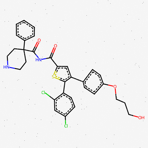 O=C(NC(=O)C1(c2ccccc2)CCNCC1)c1cc(-c2ccc(OCCCO)cc2)c(-c2ccc(Cl)cc2Cl)s1